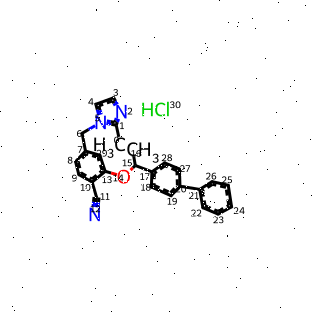 Cc1nccn1Cc1ccc(C#N)c(OC(C)c2ccc(-c3ccccc3)cc2)c1.Cl